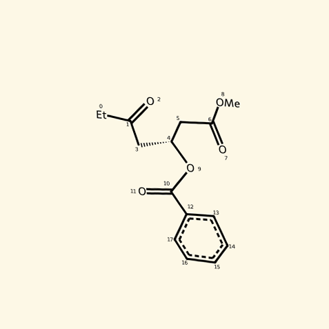 CCC(=O)C[C@H](CC(=O)OC)OC(=O)c1ccccc1